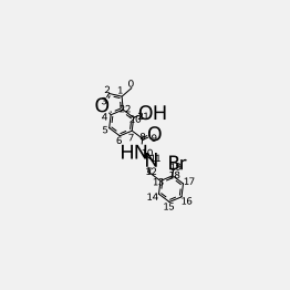 Cc1coc2ccc(C(=O)NN=Cc3ccccc3Br)c(O)c12